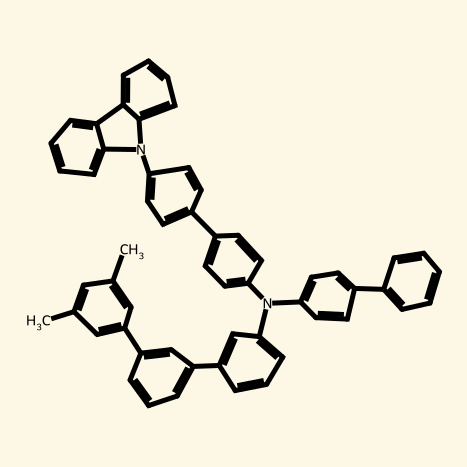 Cc1cc(C)cc(-c2cccc(-c3cccc(N(c4ccc(-c5ccccc5)cc4)c4ccc(-c5ccc(-n6c7ccccc7c7ccccc76)cc5)cc4)c3)c2)c1